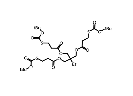 CCC(COC(=O)CCSC(=O)OC(C)(C)C)(COC(=O)CCSC(=O)OC(C)(C)C)COC(=O)CCSC(=O)OC(C)(C)C